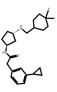 O=C(Cc1cccc(C2CC2)c1)N[C@H]1CC[C@H](NCC2CCC(F)(F)CC2)C1